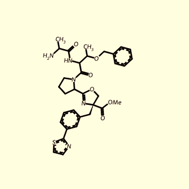 COC(=O)[C@@]1(Cc2cccc(-c3nccs3)c2)COC(C2CCCN2C(=O)C(NC(=O)C(C)N)C(C)OCc2ccccc2)=N1